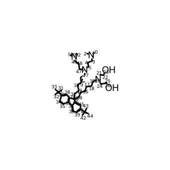 CN(C)CCCN(CCCCCCC1(CCCCCCN(CCO)CCO)c2cc(C(C)(C)C)ccc2-c2ccc(C(C)(C)C)cc21)CCCN(C)C